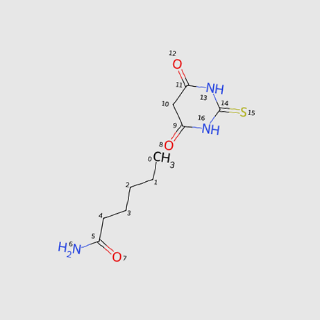 CCCCCC(N)=O.O=C1CC(=O)NC(=S)N1